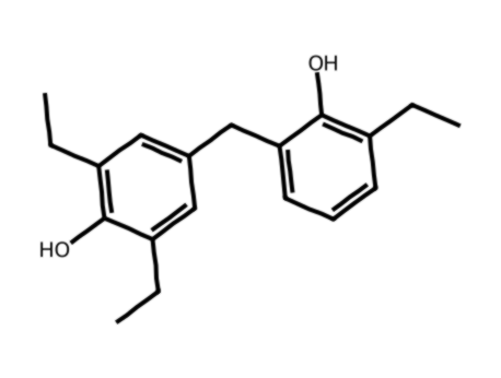 CCc1cc(Cc2cccc(CC)c2O)cc(CC)c1O